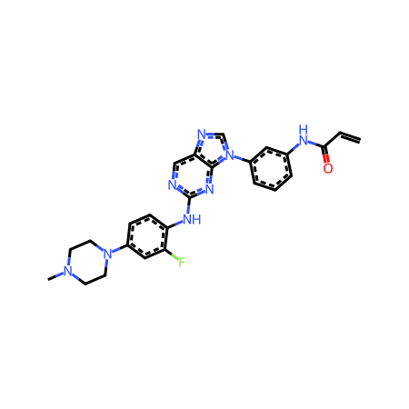 C=CC(=O)Nc1cccc(-n2cnc3cnc(Nc4ccc(N5CCN(C)CC5)cc4F)nc32)c1